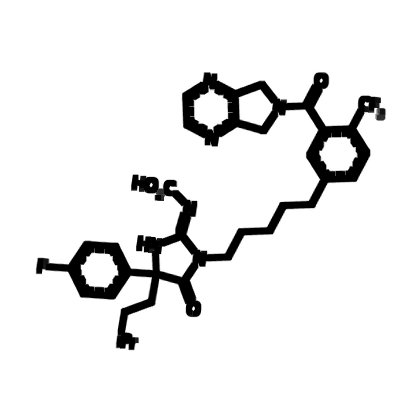 CC(C)CCC1(c2ccc(F)cc2)NC(=NC(=O)O)N(CCCCCc2ccc(C(F)(F)F)c(C(=O)N3Cc4nccnc4C3)c2)C1=O